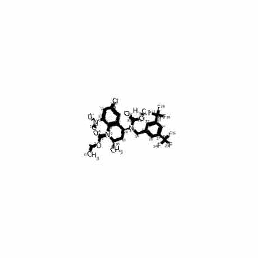 CCOC(=O)N1c2c(cc(Cl)cc2[N+](=O)[O-])[C@@H](N(Cc2cc(C(F)(F)F)cc(C(F)(F)F)c2)C(=O)OC)C[C@H]1C